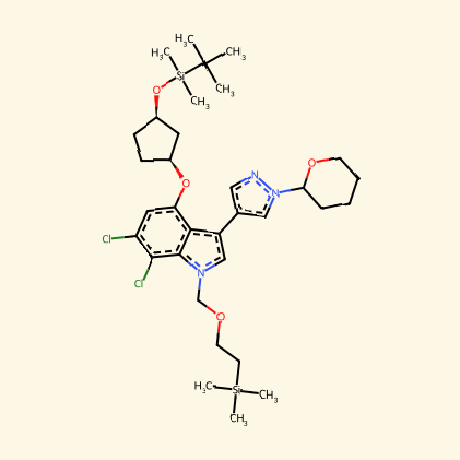 CC(C)(C)[Si](C)(C)O[C@@H]1CC[C@H](Oc2cc(Cl)c(Cl)c3c2c(-c2cnn(C4CCCCO4)c2)cn3COCC[Si](C)(C)C)C1